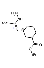 CS/C(=N/[C@@H]1CCCN(C(=O)OC(C)(C)C)C1)NN